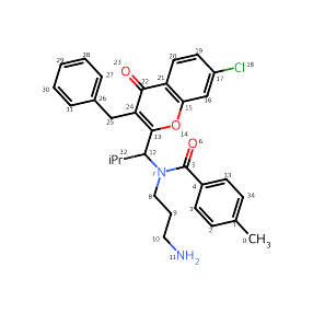 Cc1ccc(C(=O)N(CCCN)C(c2oc3cc(Cl)ccc3c(=O)c2Cc2ccccc2)C(C)C)cc1